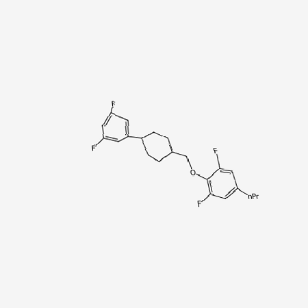 CCCc1cc(F)c(OCC2CCC(c3cc(F)cc(F)c3)CC2)c(F)c1